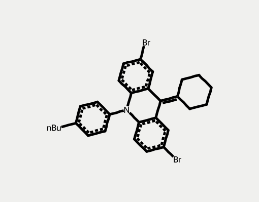 CCCCc1ccc(N2c3ccc(Br)cc3C(=C3CCCCC3)c3cc(Br)ccc32)cc1